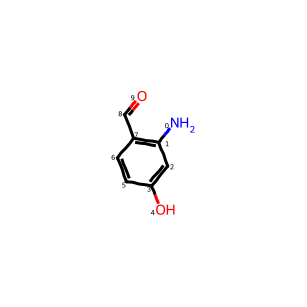 Nc1cc(O)ccc1C=O